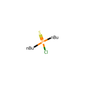 CCCCP(=S)(Cl)CCCC